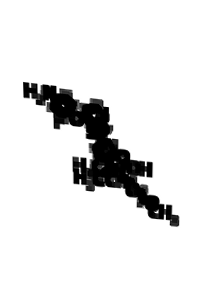 COCCOCCN(C(=O)O)C(c1ccc(-c2cc3nccc(Oc4ccc(N)cc4F)c3s2)nc1)C(C)(C)C